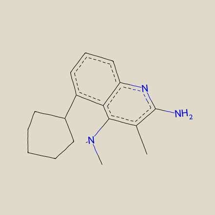 Cc1c(N)nc2cccc(C3CCCCC3)c2c1N(C)C